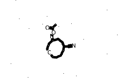 CC(=O)ON=C1CCCCCCCC(C#N)CC1